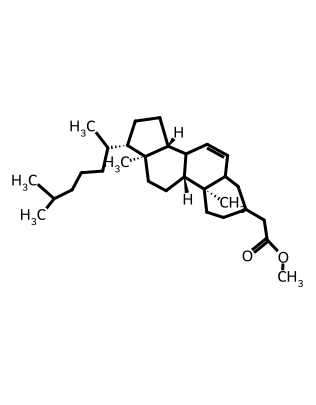 COC(=O)CC1CC[C@]2(C)C(C=CC3[C@H]4CC[C@@H](C(C)CCCC(C)C)[C@]4(C)CC[C@H]32)C1